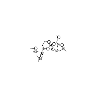 COC[C@H]1O[C@@H](C)C[C@@H]1O[P@]1(=O)OCC[C@H]([C@H]2O[C@@H](C)C[C@@H]2OC)O1